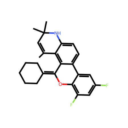 CC1=CC(C)(C)Nc2ccc3c(c21)C(=C1CCCCC1)Oc1c(F)cc(F)cc1-3